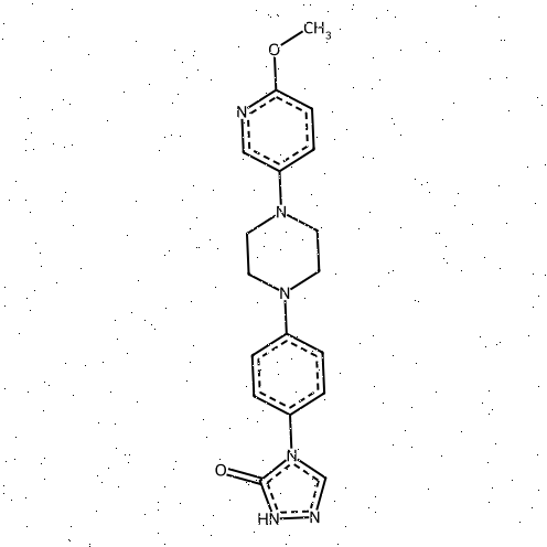 COc1ccc(N2CCN(c3ccc(-n4cn[nH]c4=O)cc3)CC2)cn1